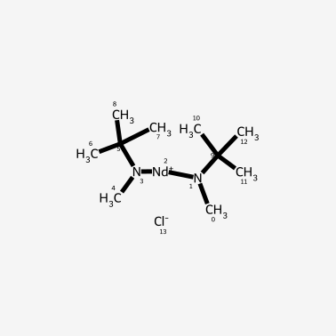 C[N]([Nd+][N](C)C(C)(C)C)C(C)(C)C.[Cl-]